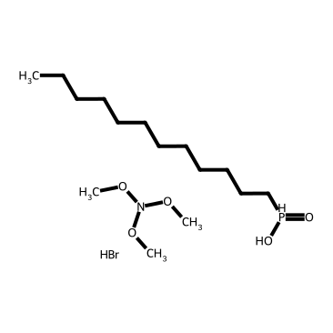 Br.CCCCCCCCCCCC[PH](=O)O.CON(OC)OC